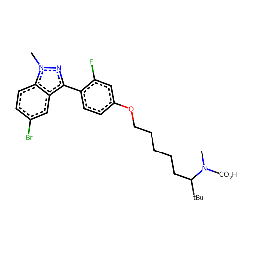 CN(C(=O)O)C(CCCCCOc1ccc(-c2nn(C)c3ccc(Br)cc23)c(F)c1)C(C)(C)C